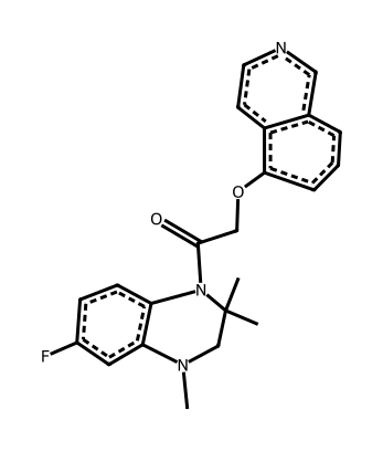 CN1CC(C)(C)N(C(=O)COc2cccc3cnccc23)c2ccc(F)cc21